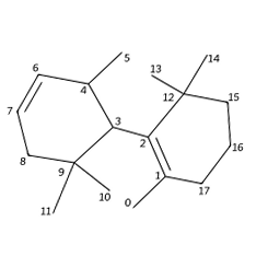 CC1=C(C2C(C)C=CCC2(C)C)C(C)(C)CCC1